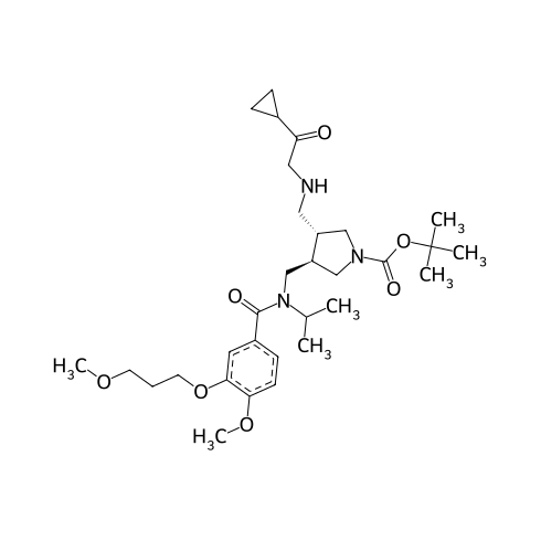 COCCCOc1cc(C(=O)N(C[C@@H]2CN(C(=O)OC(C)(C)C)C[C@H]2CNCC(=O)C2CC2)C(C)C)ccc1OC